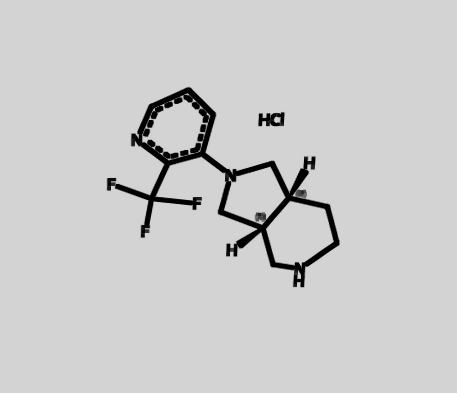 Cl.FC(F)(F)c1ncccc1N1C[C@H]2CNCC[C@H]2C1